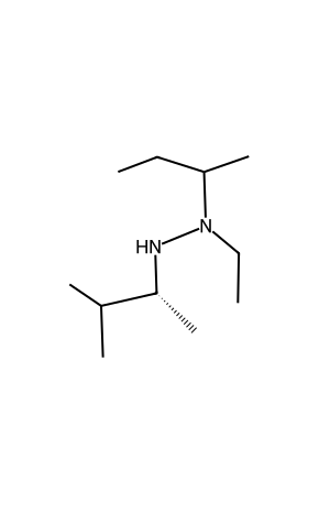 CCC(C)N(CC)N[C@H](C)C(C)C